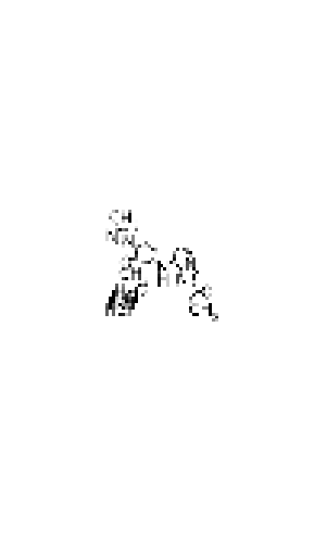 CCC(=O)c1cn2cccc(Nc3ccc(-n4cnc(C)c4)c(OC)c3)c2n1.Cl.Cl.Cl.O